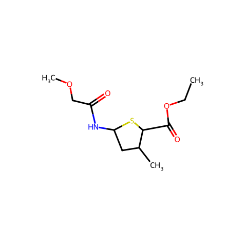 CCOC(=O)C1SC(NC(=O)COC)CC1C